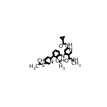 CNC(=O)c1cnc(NC(=O)C2CC2)cc1Nc1cccc(-c2ccc(SC(C)C)cn2)c1OC